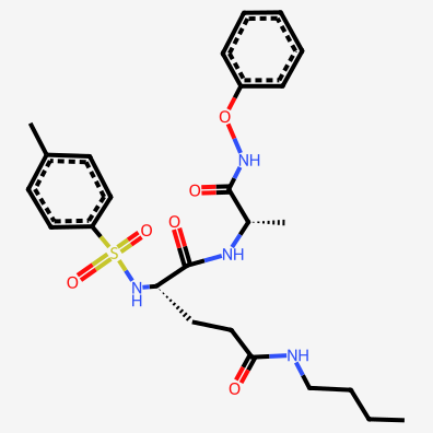 CCCCNC(=O)CC[C@H](NS(=O)(=O)c1ccc(C)cc1)C(=O)N[C@@H](C)C(=O)NOc1ccccc1